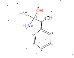 CC(c1ccccc1)C(C)(N)O